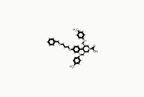 Cc1ccc(SC[C@@H]2CN(C(=O)O)C[C@H](CSc3ccc(C)cc3)C2c2ccc(OCCCOCc3ccccc3)cc2)cc1